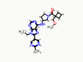 CCn1c(-c2cnc(C)nc2)nc2c(NC3CCN(C(=O)C4(COC)CCC4)C3)ncnc21